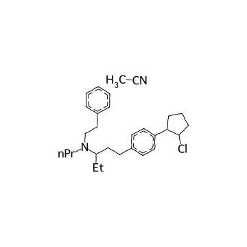 CC#N.CCCN(CCc1ccccc1)C(CC)CCc1ccc(C2CCCC2Cl)cc1